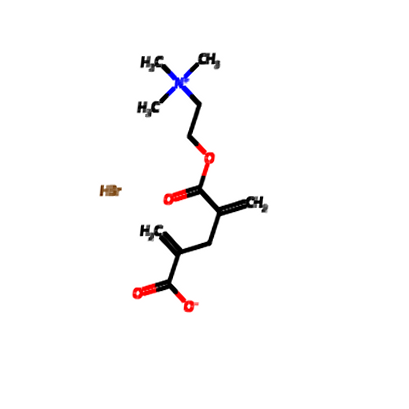 Br.C=C(CC(=C)C(=O)OCC[N+](C)(C)C)C(=O)[O-]